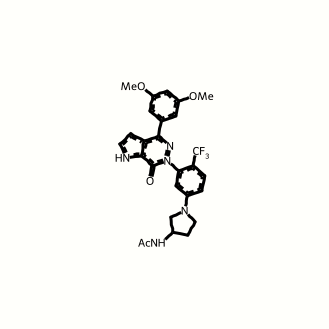 COc1cc(OC)cc(-c2nn(-c3cc(N4CCC(NC(C)=O)C4)ccc3C(F)(F)F)c(=O)c3[nH]ccc23)c1